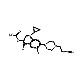 N#CCCN1CCN(c2cc3c(cc2F)c(=O)c(OC(=O)O)cn3C2CC2)CC1